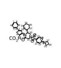 O=C(O)c1sc(-c2ccccc2)cc1N1C(=O)CN(S(=O)(=O)c2ccc(N3CCC3)nc2)CC1C1CCCCC1